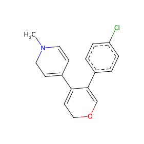 CN1C=CC(C2=CCOC=C2c2ccc(Cl)cc2)=CC1